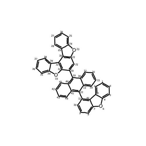 c1ccc2c(c1)oc1cccc(-c3c4ccccc4c(-c4cc5oc6ccccc6c5c5c4oc4ccccc45)c4ccccc34)c12